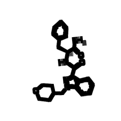 NC(=O)[C@H](Cc1ccccc1)NC(=O)c1nn(CC2CCOCC2)c2ccccc12